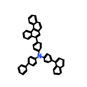 c1ccc(-c2ccc(N(c3ccc(-c4cccc5ccccc45)cc3)c3ccc(-c4cc5ccc6ccccc6c5c5ccccc45)cc3)cc2)cc1